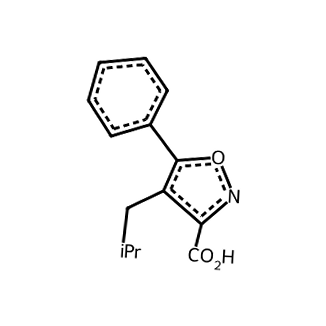 CC(C)Cc1c(C(=O)O)noc1-c1ccccc1